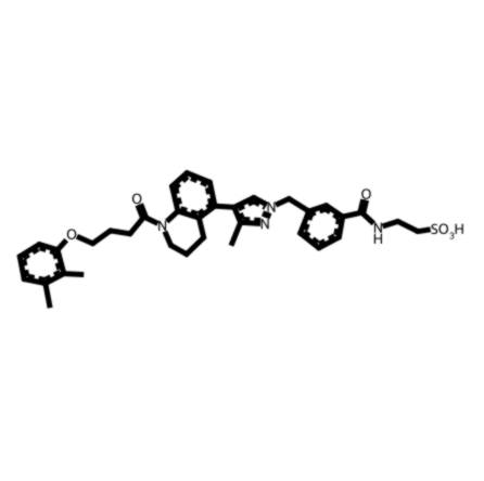 Cc1cccc(OCCCC(=O)N2CCCc3c(-c4cn(Cc5cccc(C(=O)NCCS(=O)(=O)O)c5)nc4C)cccc32)c1C